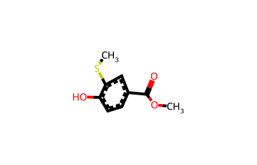 COC(=O)c1ccc(O)c(SC)c1